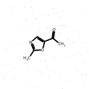 CC(=O)c1cnc(C)o1